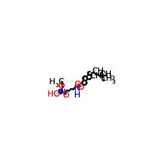 CCOC[C@@H]1C[C@@H](O)CN1C(=O)CCCCCNC(=O)O[C@H]1CCC2C(=CCC3C2CC[C@@]2(C)C3CC[C@@H]2[C@H](C)CCCC(C)C)C1